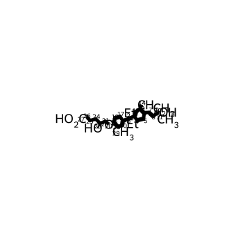 CCC(CC)(c1ccc(/C=C/C(C)(C)O)c(C)c1)c1ccc(OC[C@@H](O)CCCC(=O)O)c(C)c1